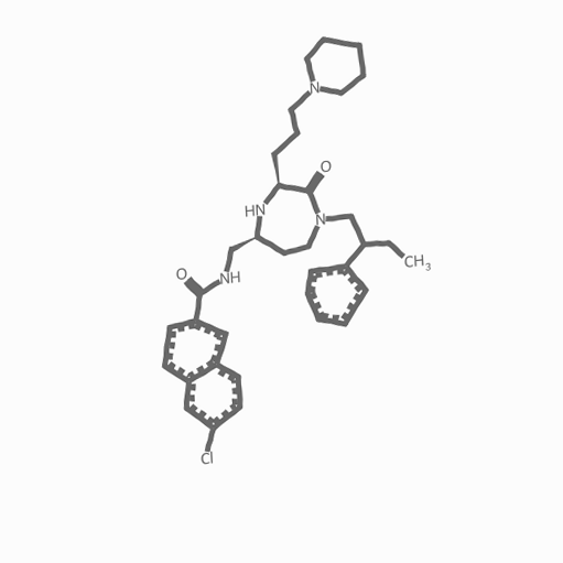 CCC(CN1CC[C@@H](CNC(=O)c2ccc3cc(Cl)ccc3c2)N[C@@H](CCCN2CCCCC2)C1=O)c1ccccc1